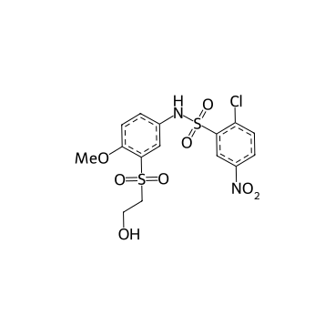 COc1ccc(NS(=O)(=O)c2cc([N+](=O)[O-])ccc2Cl)cc1S(=O)(=O)CCO